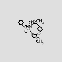 CN[C@H]1Cc2ccc(cc2)Oc2cc(ccc2OC)CC(C(=O)OCc2ccccc2)NC1=O